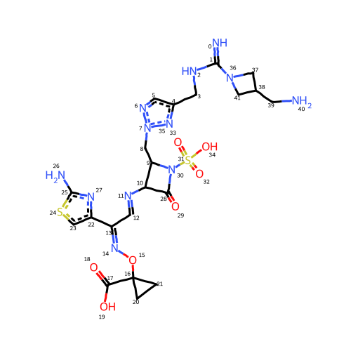 N=C(NCc1cnn(CC2C(/N=C/C(=N\OC3(C(=O)O)CC3)c3csc(N)n3)C(=O)N2S(=O)(=O)O)n1)N1CC(CN)C1